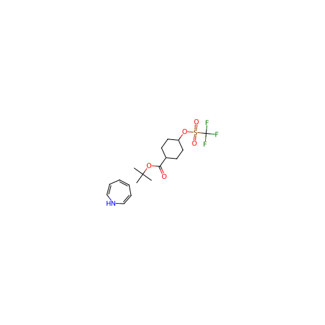 C1=CC=CNC=C1.CC(C)(C)OC(=O)C1CCC(OS(=O)(=O)C(F)(F)F)CC1